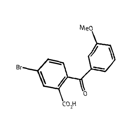 COc1cccc(C(=O)c2ccc(Br)cc2C(=O)O)c1